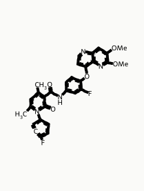 COc1cc2nccc(Oc3ccc(NC(=O)c4c(C)cc(C)n(-c5ccc(F)cc5)c4=O)cc3F)c2nc1OC